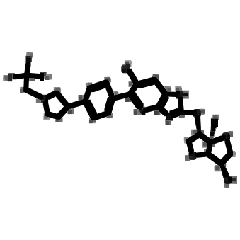 O[C@@H]1CO[C@H]2C1OC[C@H]2Oc1nc2nc(-c3ccc(C4CCN(CC(F)(F)F)C4)cc3)c(Cl)cc2[nH]1